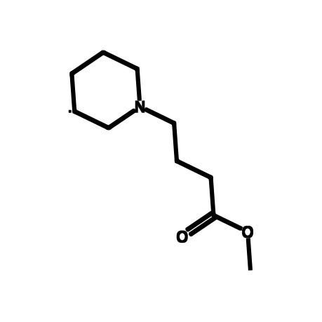 COC(=O)CCCN1C[CH]CCC1